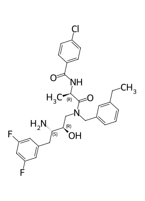 CCc1cccc(CN(C[C@@H](O)[C@@H](N)Cc2cc(F)cc(F)c2)C(=O)[C@@H](C)NC(=O)c2ccc(Cl)cc2)c1